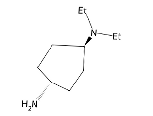 CCN(CC)[C@H]1CC[C@H](N)CC1